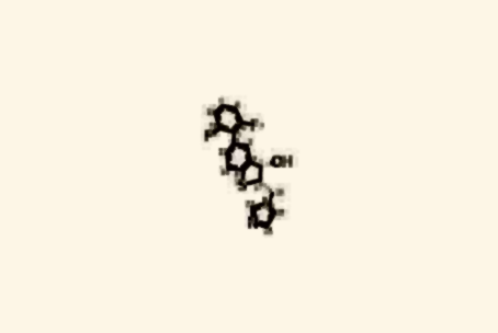 O[C@H]1c2cc(-c3c(F)cccc3F)ccc2S[C@H]1Cn1ccnc1